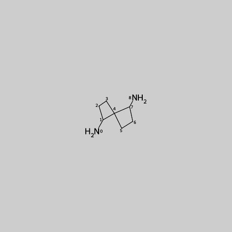 NC1CCC12CCC2N